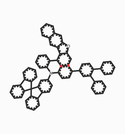 c1ccc(-c2ccc(-c3ccc(N(c4ccc5c(c4)C4(c6ccccc6-c6ccccc64)c4ccccc4-5)c4ccccc4-c4cccc5oc6cc7ccccc7cc6c45)cc3)cc2-c2ccccc2)cc1